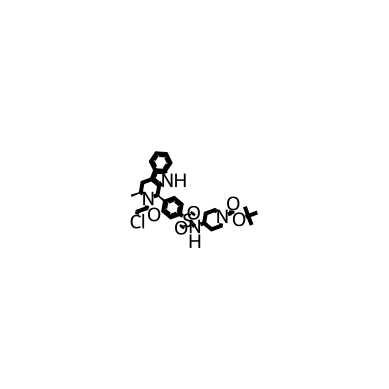 C[C@H]1Cc2c([nH]c3ccccc23)[C@@H](c2ccc(S(=O)(=O)NC3CCN(C(=O)OC(C)(C)C)CC3)cc2)N1C(=O)CCl